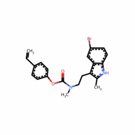 C=Cc1ccc(OC(=O)N(C)CCc2c(C)[nH]c3ccc(Br)cc23)cc1